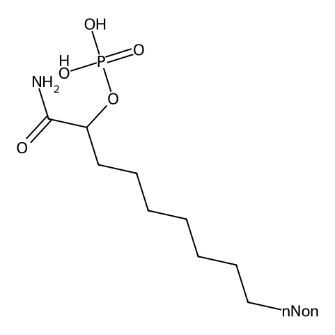 CCCCCCCCCCCCCCCCC(OP(=O)(O)O)C(N)=O